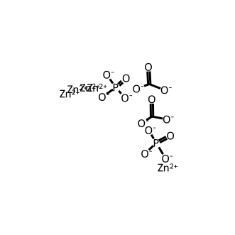 O=C([O-])[O-].O=C([O-])[O-].O=P([O-])([O-])[O-].O=P([O-])([O-])[O-].[Zn+2].[Zn+2].[Zn+2].[Zn+2].[Zn+2]